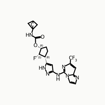 O=C(NC12CC(C1)C2)O[C@@H]1CC[C@H](c2cc(Nc3nc(C(F)(F)F)cc4nccn34)n[nH]2)[C@@H]1F